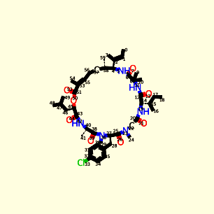 C/C=C(\C)[C@H]1NC(=O)C(C)(C)NC(=O)[C@H](C(C)CC)NC(=O)CN(C)C(=O)[C@@H](Cc2ccc(Cl)cc2)N(C)C(=O)[C@H](C)NC(=O)[C@@H](CC(C)C)OC(=O)/C(C)=C/CC[C@@H]1C